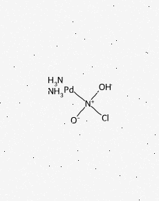 N.N.[O-][N+](O)(Cl)[Pd]